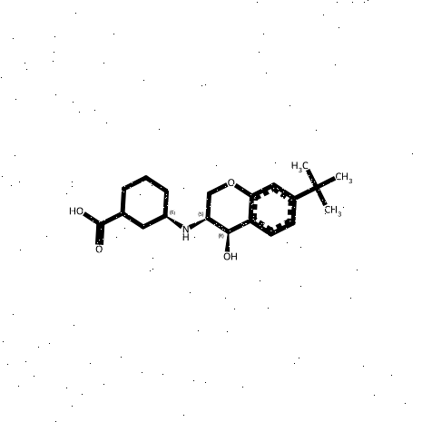 CC(C)(C)c1ccc2c(c1)OC[C@H](N[C@@H]1CCCC(C(=O)O)C1)[C@@H]2O